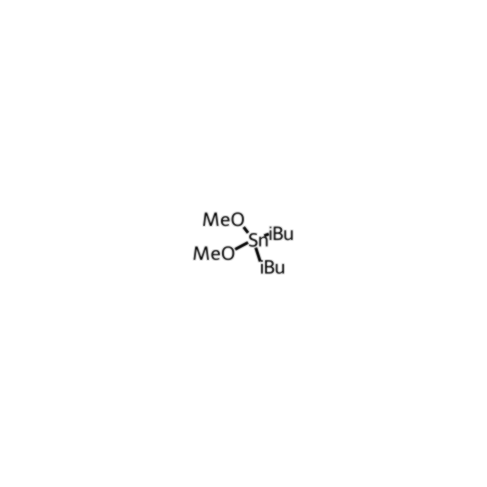 CC[CH](C)[Sn]([O]C)([O]C)[CH](C)CC